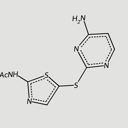 CC(=O)Nc1ncc(Sc2nccc(N)n2)s1